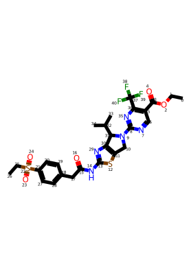 CCOC(=O)c1cnc(N2Cc3sc(NC(=O)Cc4ccc(S(=O)(=O)CC)cc4)nc3C2C(C)C)nc1C(F)(F)F